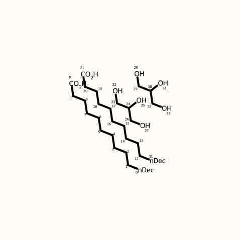 CCCCCCCCCCCCCCCCCCCC(=O)O.CCCCCCCCCCCCCCCCCCCC(=O)O.OCC(O)CO.OCC(O)CO